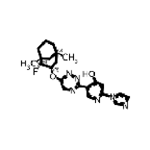 C[C@]12CCC[C@](C)(C1)[C@@H](F)[C@H](Oc1cnc(-c3cnc(-n4ccnc4)cc3O)nn1)C2